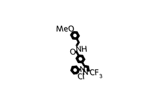 COc1ccc(CCNC(=O)c2ccc(-c3cc(C(F)(F)F)nn3-c3ccccc3Cl)cc2)cc1